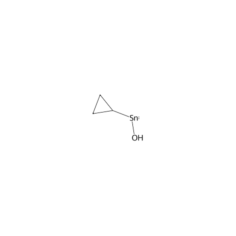 [OH][Sn][CH]1CC1